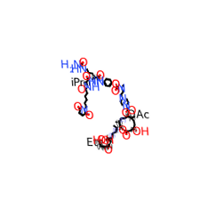 CC[C@H](O)[C@@H](C)[C@H]1O[C@@H]1C[C@@](C)(O)/C=C/C=C(\C)[C@H]1OC(=O)C[C@H](O)CC[C@@](C)(OC(C)=O)[C@@H](OC(=O)N2CCN(CCN(C)C(=O)Oc3ccc(NC(=O)[C@H](CCCNC(N)=O)NC(=O)[C@@H](NC(=O)CCCCCN4C(=O)C=CC4=O)C(C)C)cc3)CC2)/C=C/[C@@H]1C